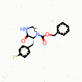 O=C1NCCN(C(=O)OCc2ccccc2)[C@@H]1Cc1ccc(F)cc1